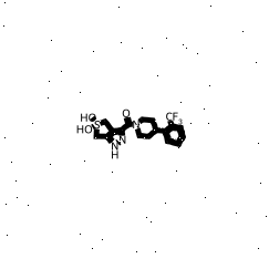 O=C(c1n[nH]c2c1CS(O)(O)C2)N1CCC(c2ccccc2C(F)(F)F)CC1